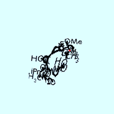 CCn1c(-c2cnccc2COC)c2c3cc(ccc31)-c1cc(O)cc(c1)C[C@H](NC(=O)C(C(C)C)N(C)C(=O)CN1CCOCC1)C(=O)N1CCC[C@H](N1)C(=O)OCC(C)(C)C2